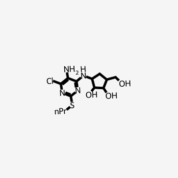 CCCSc1nc(Cl)c(N)c(NC2CC(CO)C(O)C2O)n1